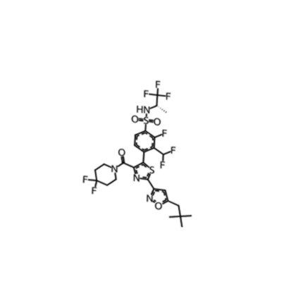 C[C@H](NS(=O)(=O)c1ccc(-c2sc(-c3cc(CC(C)(C)C)on3)nc2C(=O)N2CCC(F)(F)CC2)c(C(F)F)c1F)C(F)(F)F